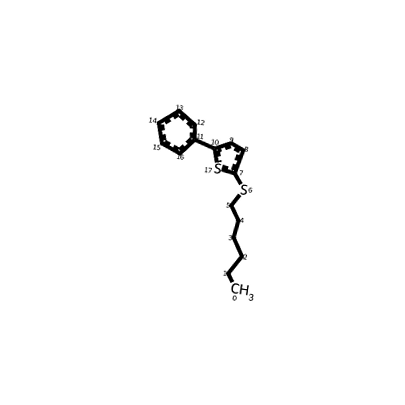 CCCCCCSc1ccc(-c2ccccc2)s1